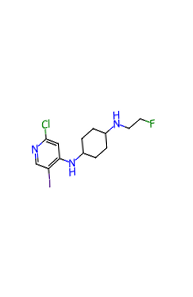 FCCNC1CCC(Nc2cc(Cl)ncc2I)CC1